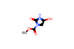 CC(C)(C)OC(=O)n1cc(O)[nH]c1=O